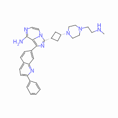 CNCCN1CCN([C@H]2C[C@@H](c3nc(-c4ccc5ccc(-c6ccccc6)nc5c4)c4c(N)nccn43)C2)CC1